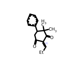 CC/C=C1\C(=O)CC(c2ccccc2)C(C)(C)C1=O